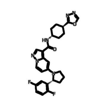 O=C(N[C@H]1CC[C@H](c2nnco2)CC1)c1cnn2ccc(N3CCC[C@@H]3c3cc(F)ccc3F)cc12